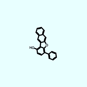 Oc1ccc(-c2ccccc2)c2oc3cc4ccccc4cc3c12